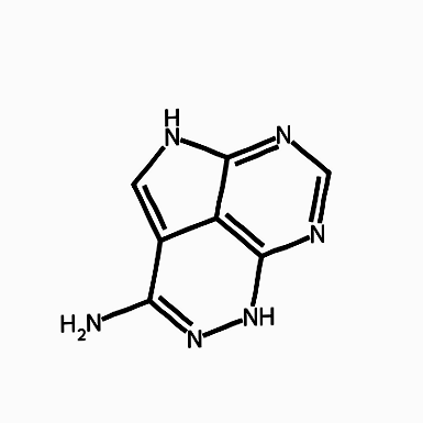 NC1=NNc2ncnc3[nH]cc1c23